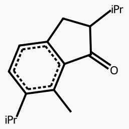 Cc1c(C(C)C)ccc2c1C(=O)C(C(C)C)C2